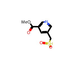 COC(=O)c1cncc(C[SH](=O)=O)c1